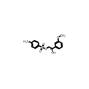 COc1cccc([C@@H](O)COS(=O)(=O)c2ccc(C)cc2)c1